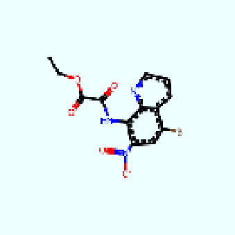 CCOC(=O)C(=O)Nc1c([N+](=O)[O-])cc(Br)c2cccnc12